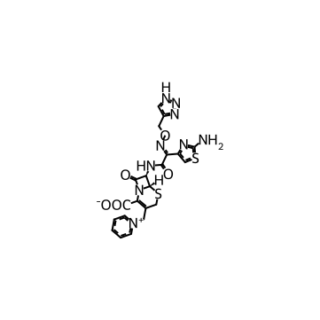 Nc1nc(C(=NOCc2c[nH]nn2)C(=O)N[C@@H]2C(=O)N3C(C(=O)[O-])=C(C[n+]4ccccc4)CS[C@@H]23)cs1